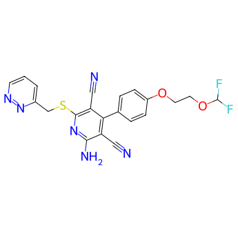 N#Cc1c(N)nc(SCc2cccnn2)c(C#N)c1-c1ccc(OCCOC(F)F)cc1